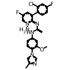 C=C(/N=c1/c(-c2ccc(F)cc2Cl)cc(F)cn1N)Nc1ccc(-n2cnc(C)c2)c(OC)c1